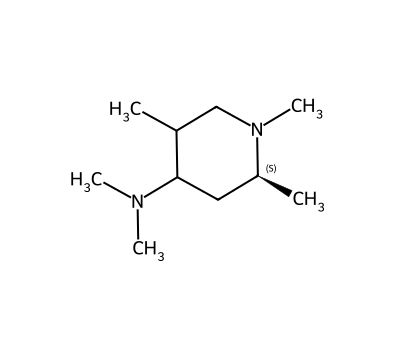 CC1CN(C)[C@@H](C)CC1N(C)C